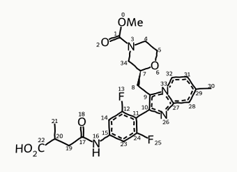 COC(=O)N1CCO[C@@H](Cc2c(-c3c(F)cc(NC(=O)CC(C)C(=O)O)cc3F)nc3cc(C)ccn23)C1